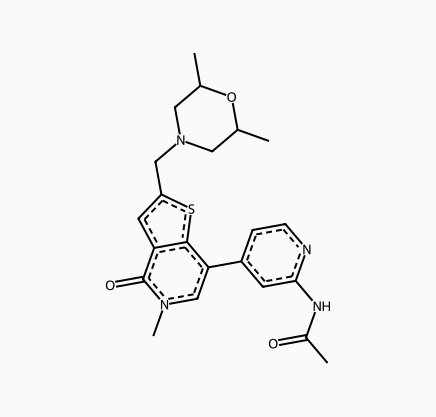 CC(=O)Nc1cc(-c2cn(C)c(=O)c3cc(CN4CC(C)OC(C)C4)sc23)ccn1